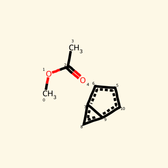 COC(C)=O.c1cc2cc-2c1